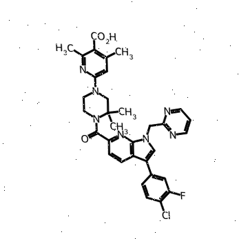 Cc1cc(N2CCN(C(=O)c3ccc4c(-c5ccc(Cl)c(F)c5)cn(Cc5ncccn5)c4n3)C(C)(C)C2)nc(C)c1C(=O)O